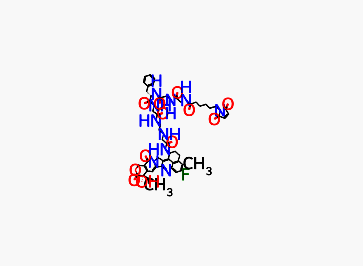 CC[C@@]1(O)C(=O)OCc2c1cc1n(c2=O)Cc2c-1nc1cc(F)c(C)c3c1c2[C@@H](NC(=O)CNCCNC(=O)CNC(=O)[C@H](Cc1ccccc1)NC(=O)CNC(=O)CNC(=O)CCCCCN1C(=O)C=CC1=O)CC3